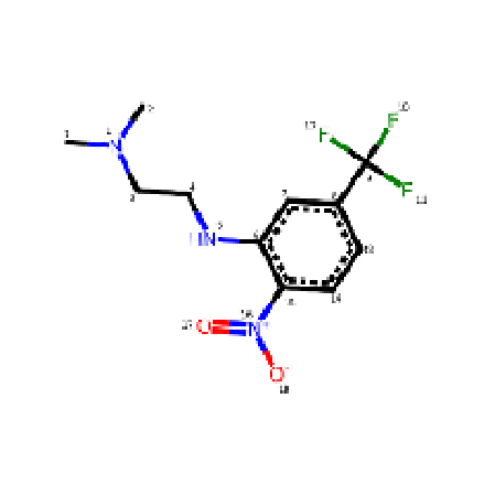 CN(C)CCNc1cc(C(F)(F)F)ccc1[N+](=O)[O-]